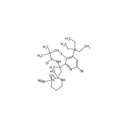 CC[Si](CC)(CC)c1cc(Br)nc(C(C)(CS2(O)NCCC[C@]2(C)C#N)N[S+]([O-])C(C)(C)C)c1F